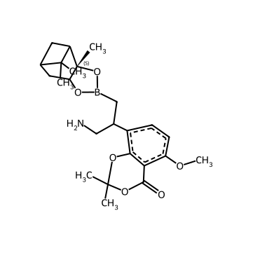 COc1ccc(C(CN)CB2OC3CC4CC(C4(C)C)[C@]3(C)O2)c2c1C(=O)OC(C)(C)O2